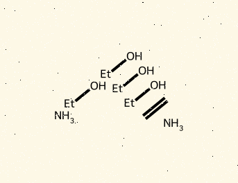 C=C.CCO.CCO.CCO.CCO.N.N